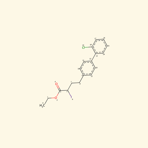 CCOC(=O)C(I)CCc1ccc(-c2ccccc2Cl)cc1